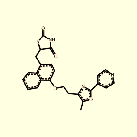 Cc1oc(-c2ccncc2)nc1CCOc1ccc(CC2SC(=O)NC2=O)c2ccccc12